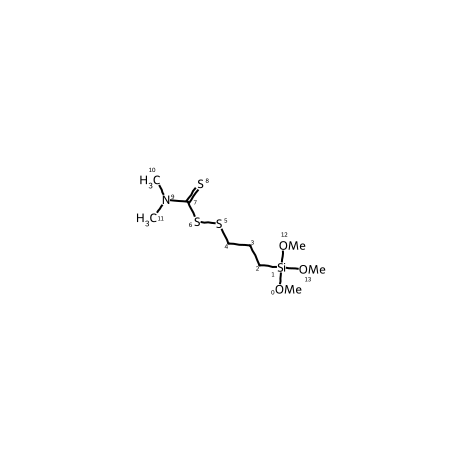 CO[Si](CCCSSC(=S)N(C)C)(OC)OC